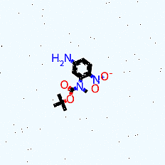 CN(C(=O)OC(C)(C)C)c1cc(N)ccc1[N+](=O)[O-]